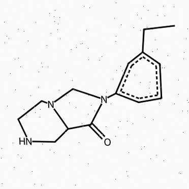 CCc1cccc(N2CN3CCNCC3C2=O)c1